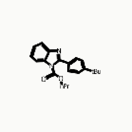 CCCOC(=O)n1c(-c2ccc(C(C)(C)C)cc2)nc2ccccc21